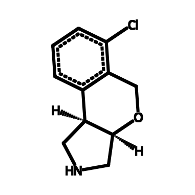 Clc1cccc2c1CO[C@H]1CNC[C@@H]21